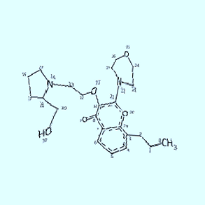 CCCc1cccc2c(=O)c(OCCN3CCCC3CO)c(N3CCOCC3)oc12